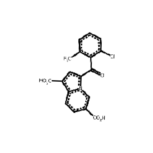 O=C(O)c1ccc2c(C(=O)O)cc(C(=O)c3c(Cl)cccc3C(F)(F)F)n2c1